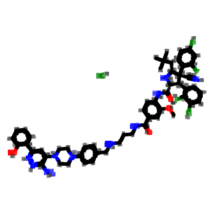 COc1cc(C(=O)NCCCNCc2ccc(N3CCN(c4cc(-c5ccccc5O)nnc4N)CC3)cc2)ccc1NC(=O)[C@@H]1N[C@@H](CC(C)(C)C)[C@](C#N)(c2ccc(Cl)cc2F)[C@H]1c1cccc(Cl)c1F.Cl